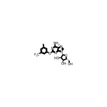 Cc1cc(Oc2nc(N)c3ncn([C@@H]4O[C@H](CO)[C@@H](O)[C@H]4O)c3n2)cc(C(F)(F)F)c1